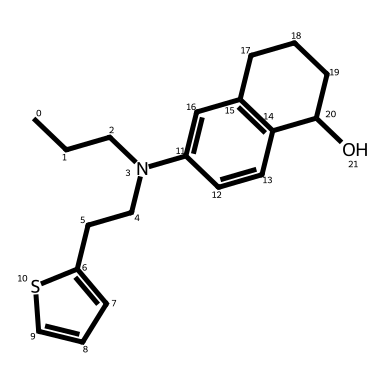 CCCN(CCc1cccs1)c1ccc2c(c1)CCCC2O